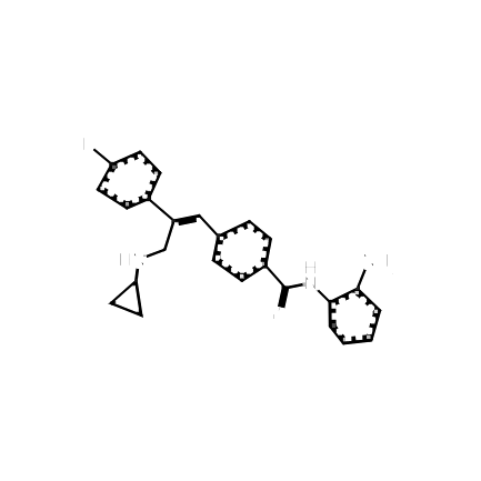 Nc1ccccc1NC(=O)c1ccc(/C=C(\CNC2CC2)c2ccc(F)cc2)cc1